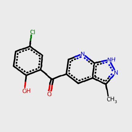 Cc1n[nH]c2ncc(C(=O)c3cc(Cl)ccc3O)cc12